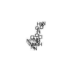 CN(C)[C@H]1CCN(/C(=N/C#N)NC[C@H](NC(=O)c2c(Cl)cc3c(c2Cl)CCN(C(=O)c2ccc4cn[nH]c4c2)C3)C(=O)O)C1